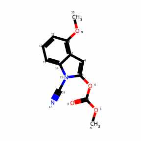 COC(=O)Oc1cc2c(OC)cccc2n1C#N